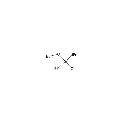 CCO[Si]([O])(C(C)C)C(C)C